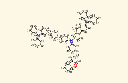 CC1(C)c2cc(N(c3ccc(-c4ccc(-c5ccc6c7ccccc7n(-c7ccccc7)c6c5)cc4)cc3)c3ccc(-c4ccc5oc6ccccc6c5c4)cc3)ccc2-c2ccc(-n3c4ccccc4c4ccccc43)cc21